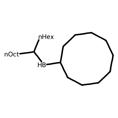 CCCCCCCCC(BC1CCCCCCCCC1)CCCCCC